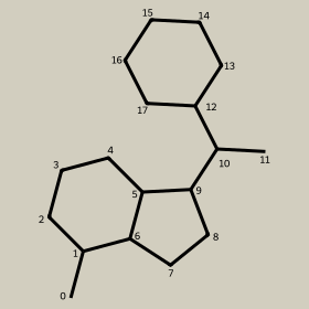 CC1CCCC2C1CCC2C(C)C1CCCCC1